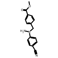 COC(=O)c1ccc(CN(N)c2ccc(C#N)cc2)cc1